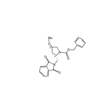 CC(C)(C)O[C@@H]1C[C@@H](CN2C(=O)c3ccccc3C2=O)N(C(=O)OCc2ccccc2)C1